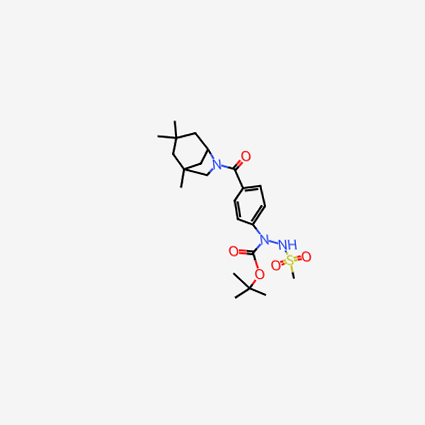 CC1(C)CC2CC(C)(CN2C(=O)c2ccc(N(NS(C)(=O)=O)C(=O)OC(C)(C)C)cc2)C1